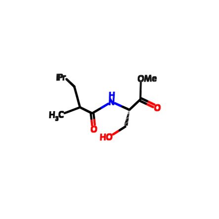 COC(=O)[C@H](CO)NC(=O)C(C)CC(C)C